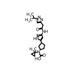 CC(C)n1cc(CC(=O)Nc2cc(C3CCC(N(C(=O)O)C4(C)CC4)C3)[nH]n2)nn1